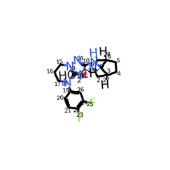 O=C(O)N1C[C@H]2CC[C@@H](C1)[C@@H]2Nc1nc2n(n1)CCCN2c1ccc(F)c(F)c1